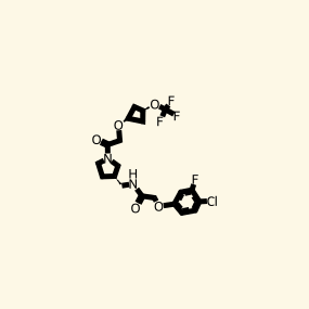 O=C(COc1ccc(Cl)c(F)c1)NC[C@@H]1CCN(C(=O)CO[C@H]2C[C@@H](OC(F)(F)F)C2)C1